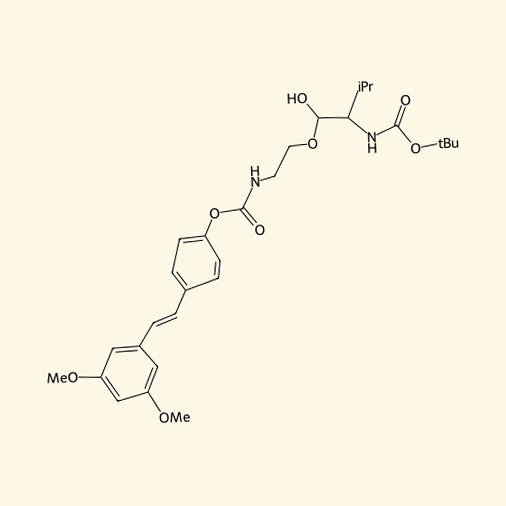 COc1cc(/C=C/c2ccc(OC(=O)NCCOC(O)C(NC(=O)OC(C)(C)C)C(C)C)cc2)cc(OC)c1